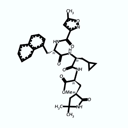 COC(=O)[C@H](C[C@@H]1CC(C)(C)NC1=O)NC(=O)[C@H](CC1CC1)NC(=O)[C@H](Cc1cccc2ccccc12)NC(=O)c1cc(C)on1